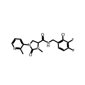 Cc1ncccc1N1CC(C(=O)NCc2ccc(F)c(F)c2Cl)N(C)C1=O